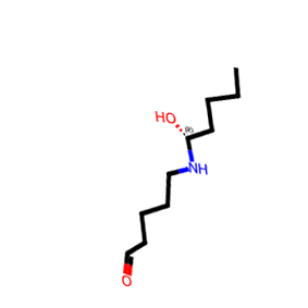 CCCC[C@@H](O)NCCCCC=O